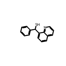 SC(c1[c]cccc1)c1cccc2cccnc12